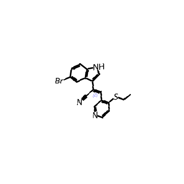 CCSc1ccncc1/C=C(\C#N)c1c[nH]c2ccc(Br)cc12